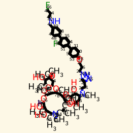 CO[C@]1(C)C[C@H](O[C@H]2[C@H](C)[C@@H](O[C@@H]3O[C@H](C)C[C@H](N(C)CCc4cn(CCCOc5ccc(-c6ccc(-c7ccc(CNCCCF)cc7)c(F)c6)cc5)nn4)[C@H]3O)[C@](C)(O)C[C@@H](C)CN(C)[C@H](C)[C@@H](O)[C@](C)(O)[C@@H](I)OC(=O)[C@@H]2C)O[C@@H](C)[C@@H]1O